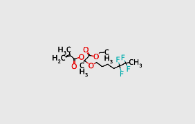 C=C(C)C(=O)OC(C)(OCCCCC(F)(F)C(C)(F)F)C(=O)OCC